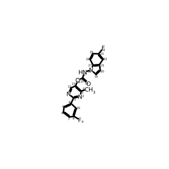 Cc1nc(-c2cccc(F)c2)ncc1OC(=O)Nn1ccc2cc(F)ccc21